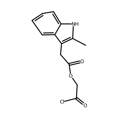 Cc1[nH]c2ccccc2c1CC(=O)OCC(=O)Cl